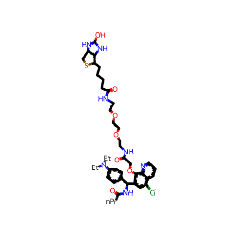 CCCC(=O)NC(c1ccc(N(CC)CC)cc1)c1cc(Cl)c2cccnc2c1OCC(=O)NCCOCCOCCNC(=O)CCCCC1SCC2NC(O)NC21